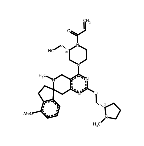 C=CC(=O)N1CCN(c2nc(OC[C@@H]3CCCN3C)nc3c2CN(C)C2(CCc4c(OC)cccc42)C3)C[C@@H]1CC#N